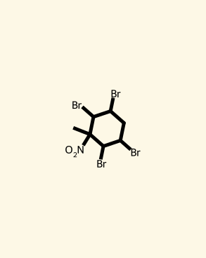 CC1([N+](=O)[O-])C(Br)C(Br)CC(Br)C1Br